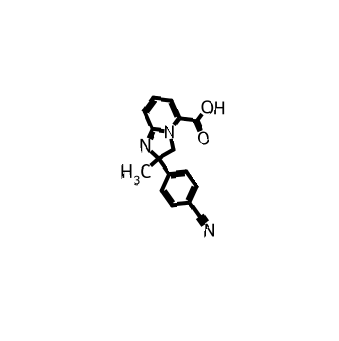 CC1(c2ccc(C#N)cc2)CN2C(C(=O)O)=CC=CC2=N1